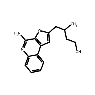 CC(CCO)Cc1cc2c(o1)c(N)nc1ccccc12